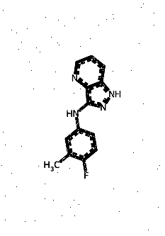 Cc1cc(Nc2n[nH]c3cccnc23)ccc1F